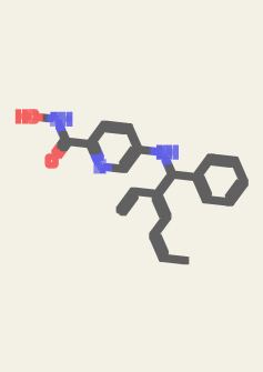 C=C/C(=C\C=C/C)C(Nc1ccc(C(=O)NO)nc1)c1ccccc1